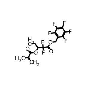 C=C(C)C(=O)OC(CC)C(F)(F)C(=O)OCc1c(F)c(F)c(F)c(F)c1F